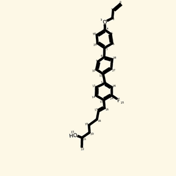 C=CCOc1ccc(-c2ccc(-c3ccc(C=CCCCC(C)O)c(F)c3)cc2)cc1